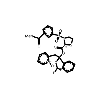 CNC(=O)c1cccc(S(=O)(=O)N2CCS[C@H]2C(=O)OC(Cc2cccc[n+]2[O-])(OC(F)F)c2ccccc2)c1